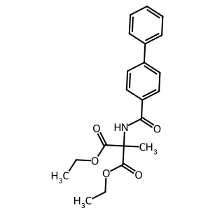 CCOC(=O)C(C)(NC(=O)c1ccc(-c2ccccc2)cc1)C(=O)OCC